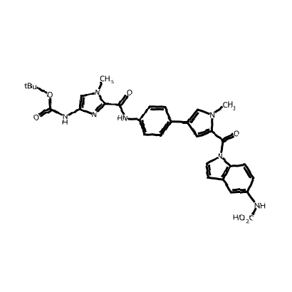 Cn1cc(-c2ccc(NC(=O)c3nc(NC(=O)OC(C)(C)C)cn3C)cc2)cc1C(=O)n1ccc2cc(NC(=O)O)ccc21